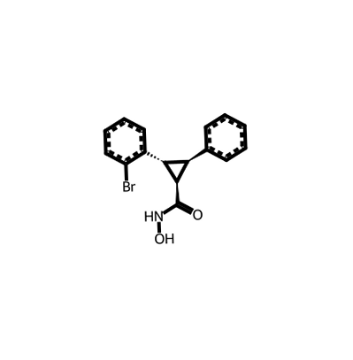 O=C(NO)[C@@H]1[C@H](c2ccccc2)[C@H]1c1ccccc1Br